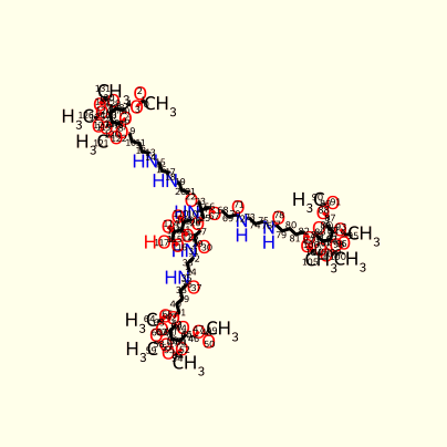 CC(=O)OC[C@H]1O[C@H](OCCCCCNCCCNCCCOCC(COCCC(=O)NCCCNC(=O)CCCCO[C@H]2O[C@H](COC(C)=O)[C@@H](OC(C)=O)[C@H](OC(C)=O)[C@@H]2OC(C)=O)(COCCC(=O)NCCCNC(=O)CCCCO[C@H]2O[C@H](COC(C)=O)[C@@H](OC(C)=O)[C@H](OC(C)=O)[C@@H]2OC(C)=O)NCC(=O)C(=O)C(=O)C(=O)O)[C@@H](OC(C)=O)[C@@H](OC(C)=O)[C@@H]1OC(C)=O